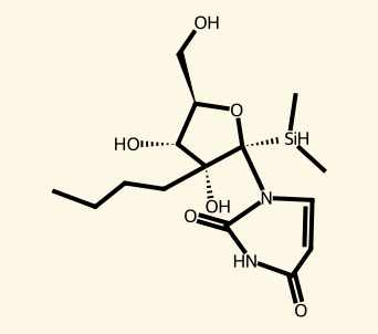 CCCC[C@@]1(O)[C@H](O)[C@@H](CO)O[C@]1(n1ccc(=O)[nH]c1=O)[SiH](C)C